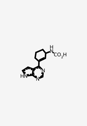 O=C(O)NC1C=C(c2ncnc3[nH]ccc23)CCC1